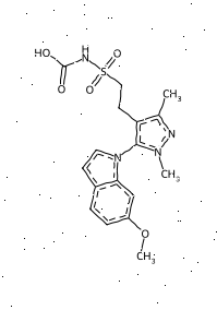 COc1ccc2ccn(-c3c(CCS(=O)(=O)NC(=O)O)c(C)nn3C)c2c1